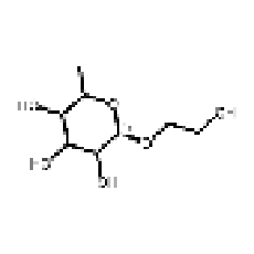 CC1O[C@@H](OCCO)C(O)C(O)C1O